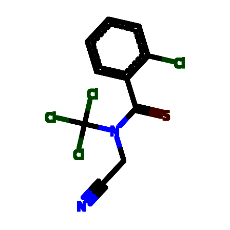 N#CCN(C(=S)c1ccccc1Cl)C(Cl)(Cl)Cl